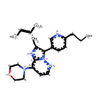 COCCc1ccc(-c2c(C)nc3c(N4CCOCC4)ccnn23)cn1.O=C(O)C=CC(=O)O